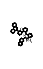 NN/C(=N\C(C1=CCCc2oc3c(-c4cc5c(c6ccccc46)C=CCC5)cccc3c21)c1ccccc1)c1ccc2ccccc2c1